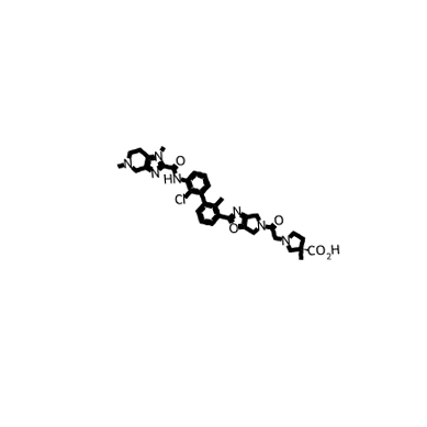 Cc1c(-c2nc3c(o2)CN(C(=O)CN2CC[C@](C)(C(=O)O)C2)C3)cccc1-c1cccc(NC(=O)c2nc3c(n2C)CCN(C)C3)c1Cl